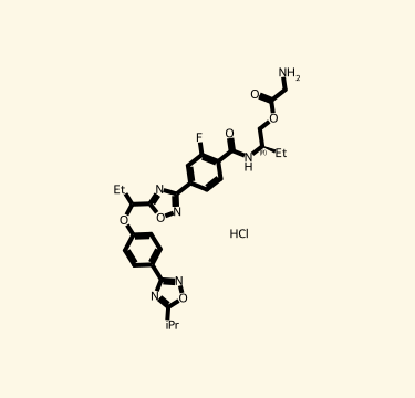 CCC(Oc1ccc(-c2noc(C(C)C)n2)cc1)c1nc(-c2ccc(C(=O)N[C@H](CC)COC(=O)CN)c(F)c2)no1.Cl